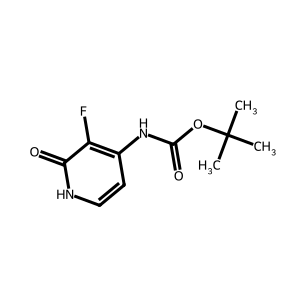 CC(C)(C)OC(=O)Nc1cc[nH]c(=O)c1F